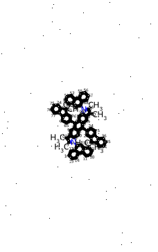 Cc1c(C)n(-c2cc3ccccc3c3ccccc23)c2cc3c(-c4ccc5c(c4)C(C)(C)c4ccccc4-5)c4cc5c(C)c(C)n(-c6cc7ccccc7c7ccccc67)c5cc4c(-c4ccc5c(c4)C(C)(C)c4ccccc4-5)c3cc12